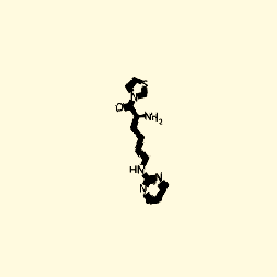 N[C@@H](CCCCNc1ncccn1)C(=O)N1C=CSC1